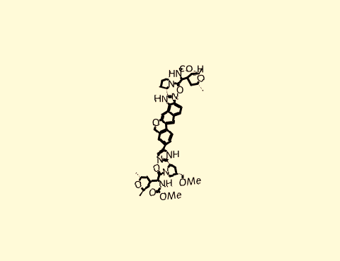 COC[C@H]1C[C@@H](c2ncc(-c3ccc4c(c3)COc3cc5c(ccc6nc([C@@H]7CC[C@H](C)N7C(=O)C(NC(=O)O)C7C[C@@H](C)O[C@H](C)C7)[nH]c65)cc3-4)[nH]2)N(C(=O)C(NC(=O)OC)C2C[C@@H](C)O[C@H](C)C2)C1